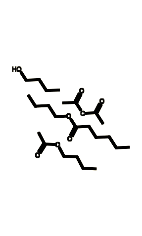 CC(=O)OC(C)=O.CCCCCC(=O)OCCCC.CCCCO.CCCCOC(C)=O